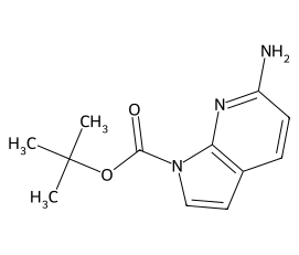 CC(C)(C)OC(=O)n1ccc2ccc(N)nc21